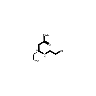 COC[C@H](CC(=O)OC)NCCC(C)=O